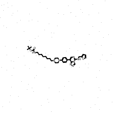 CC(C)(C)OC(=O)NCCCCCCCCN1CCN(c2ccc(-c3cnc(NCc4ccco4)n4cnnc34)cc2)CC1